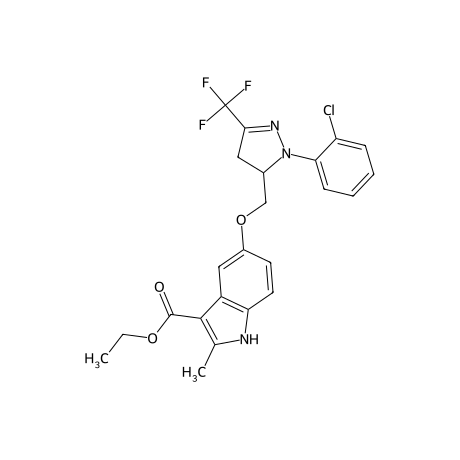 CCOC(=O)c1c(C)[nH]c2ccc(OCC3CC(C(F)(F)F)=NN3c3ccccc3Cl)cc12